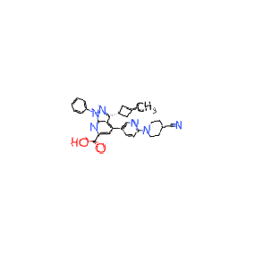 C[C@H]1C[C@H](c2nn(-c3ccccc3)c3nc(C(=O)O)cc(-c4ccc(N5CCC(C#N)CC5)nc4)c32)C1